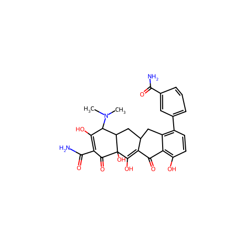 CN(C)C1C(O)=C(C(N)=O)C(=O)C2(O)C(O)=C3C(=O)c4c(O)ccc(-c5cccc(C(N)=O)c5)c4CC3CC12